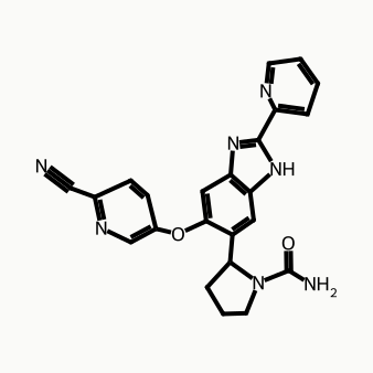 N#Cc1ccc(Oc2cc3nc(-c4ccccn4)[nH]c3cc2C2CCCN2C(N)=O)cn1